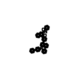 c1ccc(-c2ccc(N(c3ccccc3)c3ccc(-c4ccc5oc6c(-c7nc8ccccc8o7)cc7ccccc7c6c5c4)c4ccccc34)cc2)cc1